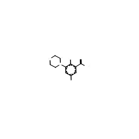 COC(=O)c1cc(Br)cc(N2CCNCC2)c1C.Cl